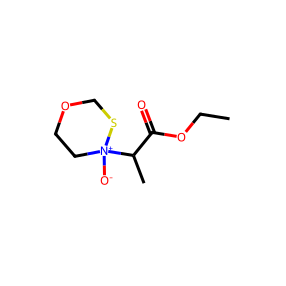 CCOC(=O)C(C)[N+]1([O-])CCOCS1